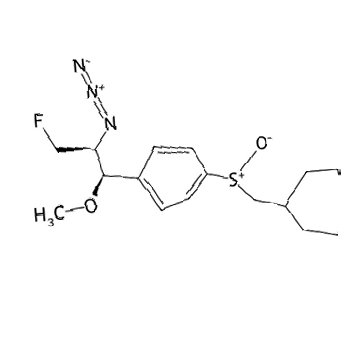 CO[C@H](c1ccc([S+]([O-])CC2CCOCC2)cc1)[C@@H](CF)N=[N+]=[N-]